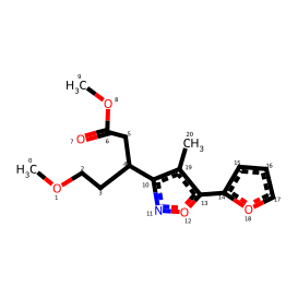 COCCC(CC(=O)OC)c1noc(-c2ccco2)c1C